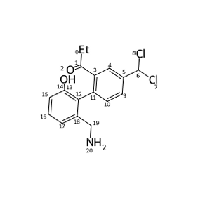 CCC(=O)c1cc(C(Cl)Cl)ccc1-c1c(O)cccc1CN